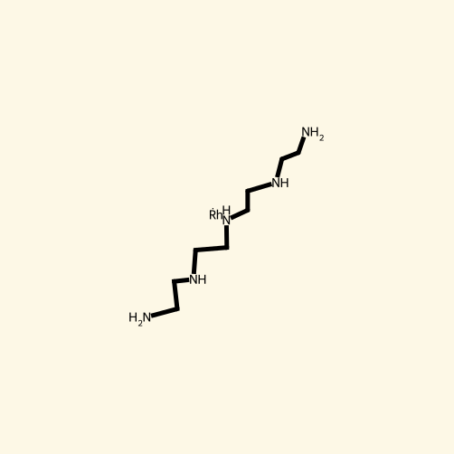 NCCNCCNCCNCCN.[Rh]